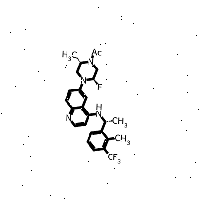 CC(=O)N1C[C@@H](F)N(c2ccc3nccc(N[C@H](C)c4cccc(C(F)(F)F)c4C)c3c2)C[C@@H]1C